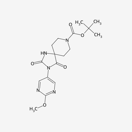 COc1ncc(N2C(=O)NC3(CCN(C(=O)OC(C)(C)C)CC3)C2=O)cn1